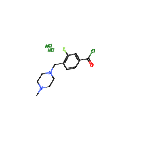 CN1CCN(Cc2ccc(C(=O)Cl)cc2F)CC1.Cl.Cl